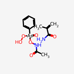 C=C(C)C(N)=O.CC(=O)NO[As](=O)(OO)c1ccccc1